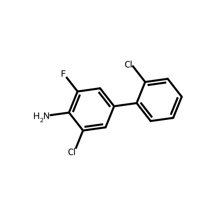 Nc1c(F)cc(-c2ccccc2Cl)cc1Cl